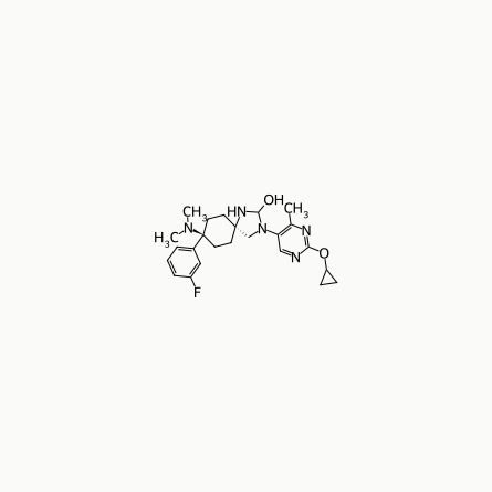 Cc1nc(OC2CC2)ncc1N1C[C@]2(CC[C@](c3cccc(F)c3)(N(C)C)CC2)NC1O